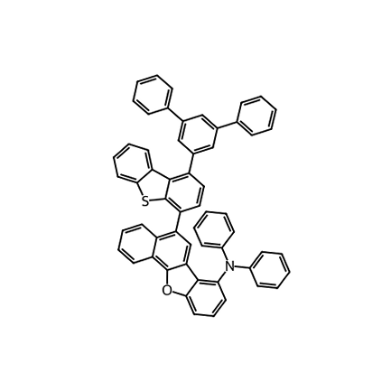 c1ccc(-c2cc(-c3ccccc3)cc(-c3ccc(-c4cc5c(oc6cccc(N(c7ccccc7)c7ccccc7)c65)c5ccccc45)c4sc5ccccc5c34)c2)cc1